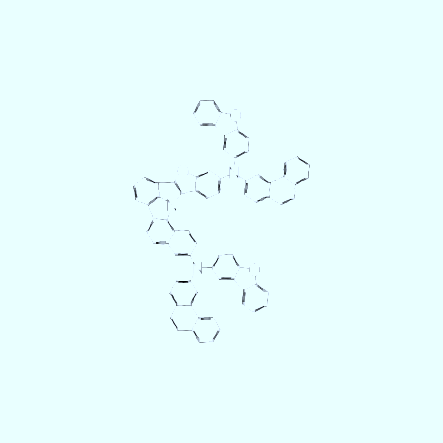 c1ccc2c(c1)ccc1ccc(N(c3ccc4c(ccc5c6cccc7c8oc9cc(N(c%10ccc%11ccc%12ccccc%12c%11c%10)c%10ccc%11oc%12ccccc%12c%11c%10)ccc9c8n(c45)c67)c3)c3ccc4oc5ccccc5c4c3)cc12